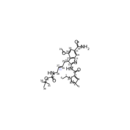 CCn1nc(C)cc1C(=O)NC1=Nc2cc(C(N)=O)cc(OC)c2C1C/C=C/CNC(=O)OC(C)(C)C